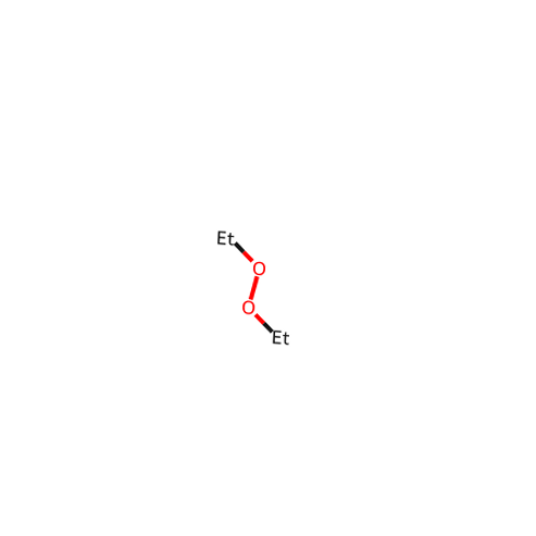 [CH2]COOC[CH2]